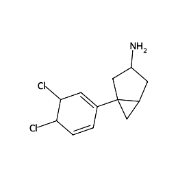 NC1CC2CC2(C2=CC(Cl)C(Cl)C=C2)C1